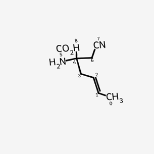 C/C=C/CC(N)(CC#N)C(=O)O